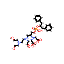 O=CCN(CC=O)CCN(CC=O)CC(COP(=O)(O)OC(Cc1ccccc1)Cc1ccccc1)N(CC(=O)O)CC(=O)O